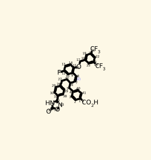 O=C(O)c1ccc(CC(/C=C\c2cc(F)ccc2OCc2cc(C(F)(F)F)cc(C(F)(F)F)c2)CCc2ccc(-c3noc(=O)[nH]3)cc2)cc1